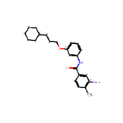 Cc1ccc(C(=O)Nc2cccc(OCCCC3CCCCC3)c2)cc1I